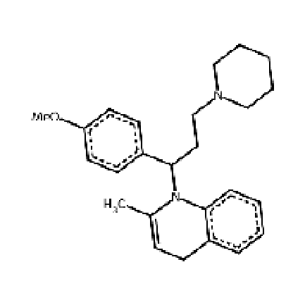 COc1ccc(C(CCN2CCCCC2)N2C(C)=CCc3ccccc32)cc1